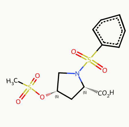 CS(=O)(=O)O[C@H]1C[C@@H](C(=O)O)N(S(=O)(=O)c2ccccc2)C1